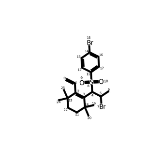 C=CC1=C(C(C(C)Br)S(=O)(=O)c2ccc(Br)cc2)C(C)(C)CCC1(C)C